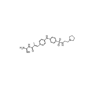 C/C(=C\c1ccc(Nc2ccc(S(=O)(=O)NCCN3CCCC3)cc2)cc1)C(=O)NC(=N)N